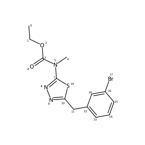 CCOC(=O)N(C)c1nnc(Cc2cccc(Br)c2)s1